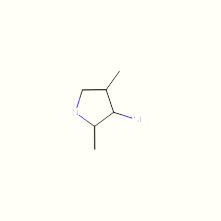 CC1C[N]C(C)C1N